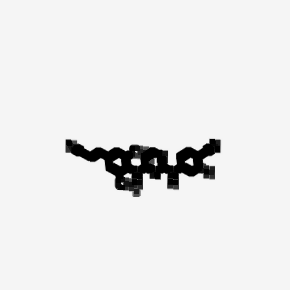 [2H]c1cc(Nc2nccc(Nc3c(C)cc(/C=C/C#N)cc3C)n2)ccc1C#N